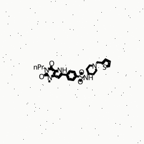 CCCn1c(=O)c2[nH]c(-c3ccc(S(=O)(=O)NC4CCN(Cc5cccs5)CC4)cc3)cc2n(C)c1=O